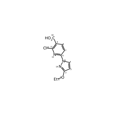 CCOc1ccn(-c2ccc(C(=O)O)c(Cl)n2)n1